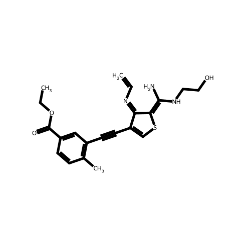 C=C/N=C1/C(C#Cc2cc(C(=O)OCC)ccc2C)=CS/C1=C(/N)NCCO